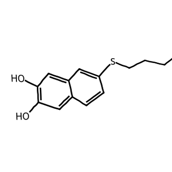 CCCCSc1ccc2cc(O)c(O)cc2c1